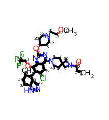 C=CC(=O)N1CC2(CCN(c3nc(OC4CCN(CCOC)CC4)nc4c(OCC(F)(F)F)c(-c5c(C)ccc6[nH]ncc56)c(Cl)cc34)CC2)C1